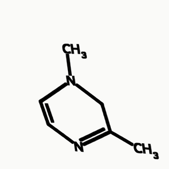 CC1=NC=CN(C)C1